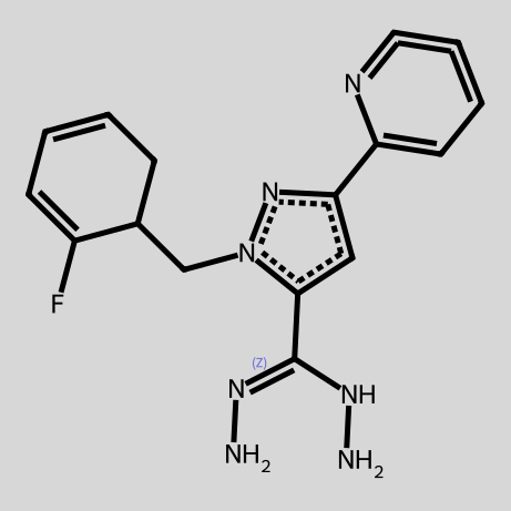 N/N=C(\NN)c1cc(C2=CC=C=C=N2)nn1CC1CC=CC=C1F